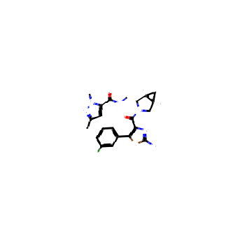 Cc1cc(C(=O)NC[C@@H]2[C@H]3C[C@H]3CN2C(=O)c2nc(N)sc2-c2cccc(F)c2)n(C)n1